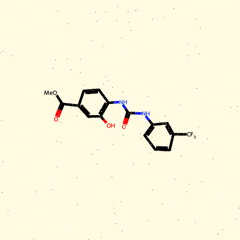 COC(=O)c1ccc(NC(=O)Nc2cccc(C(F)(F)F)c2)c(O)c1